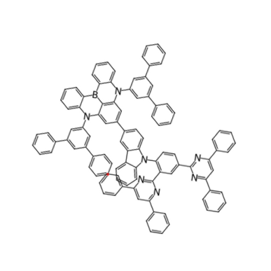 c1ccc(-c2cc(-c3ccccc3)cc(N3c4ccccc4B4c5ccccc5N(c5cc(-c6ccccc6)cc(-c6ccccc6)c5)c5cc(-c6ccc7c(c6)c6ccccc6n7-c6ccc(-c7nc(-c8ccccc8)cc(-c8ccccc8)n7)cc6-c6nc(-c7ccccc7)cc(-c7ccccc7)n6)cc3c54)c2)cc1